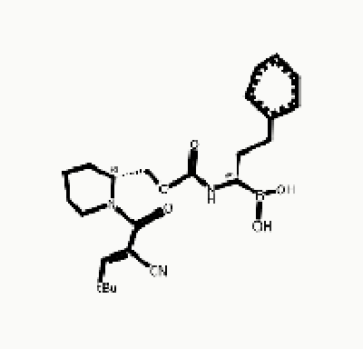 CC(C)(C)C=C(C#N)C(=O)N1CCCC[C@@H]1COC(=O)N[C@@H](CCc1ccccc1)B(O)O